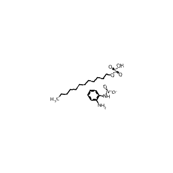 CCCCCCCCCCCCOS(=O)(=O)O.Nc1ccccc1N[N+](=O)[O-]